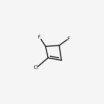 FC1C=C(Cl)C1F